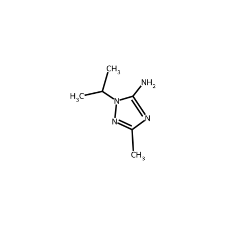 Cc1nc(N)n(C(C)C)n1